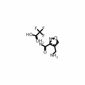 NCc1conc1C(N)=O.O=C(O)C(F)(F)F